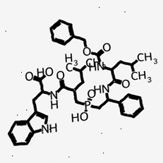 CC(C)CC(CP(=O)(O)CC(NC(=O)C(CC(C)C)NC(=O)OCc1ccccc1)c1ccccc1)C(=O)NC(Cc1c[nH]c2ccccc12)C(=O)O